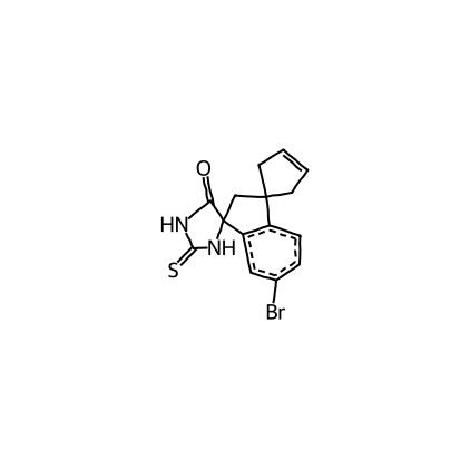 O=C1NC(=S)NC12CC1(CC=CC1)c1ccc(Br)cc12